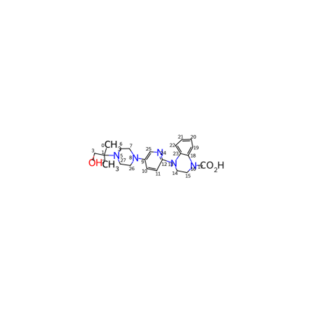 CC(C)(CO)N1CCN(c2ccc(N3CCN(C(=O)O)c4ccccc43)nc2)CC1